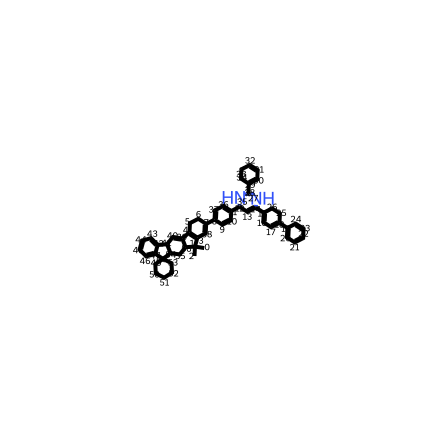 CC1(C)C2=C(CCC(c3ccc(C4C=C(C5=CC=C(c6ccccc6)CC5)NC(C5=CC=CCC5)N4)cc3)=C2)C2=CC3c4ccccc4C4(CCCCC4)C3CC21